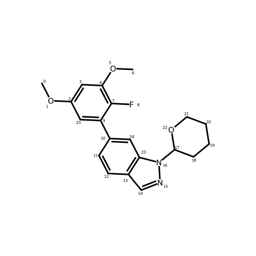 COc1cc(OC)c(F)c(-c2ccc3cnn(C4CCCCO4)c3c2)c1